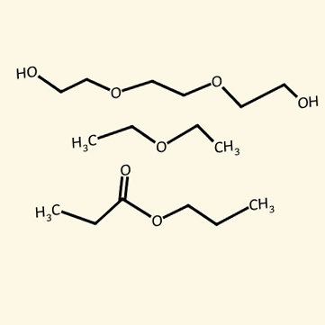 CCCOC(=O)CC.CCOCC.OCCOCCOCCO